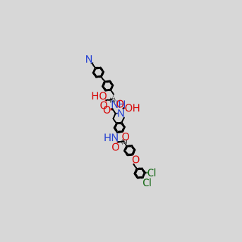 N#Cc1ccc(-c2ccc(C[C@H](NC(=O)C3Cc4cc5c(cc4CN3C(=O)O)O[C@@H](c3ccc(OCc4ccc(Cl)c(Cl)c4)cc3)C(=O)N5)C(=O)O)cc2)cc1